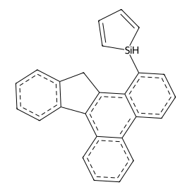 C1=C[SiH](c2cccc3c2c2c(c4ccccc43)-c3ccccc3C2)C=C1